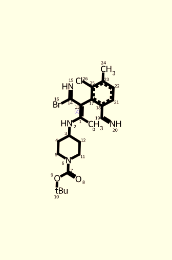 C/C(NC1CCN(C(=O)OC(C)(C)C)CC1)=C(/C(=N)Br)c1c(C=N)ccc(C)c1Cl